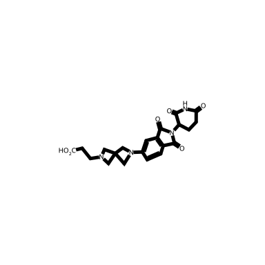 O=C(O)CCN1CC2(C1)CN(c1ccc3c(c1)C(=O)N(C1CCC(=O)NC1=O)C3=O)C2